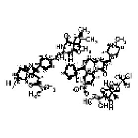 C=CCC1(C(C)CC)C(=O)NC(=O)NC1=O.CN1CCN(/C=C2\N=C3CN=C(c4ccccc4Cl)c4cc([N+](=O)[O-])ccc4N3C2=O)CC1.Cc1ccc(-c2nc3ccc(C)cn3c2CC(=O)N(C)C)cc1.OC[C@@H](O)[C@H]1O[C@@H]2O[C@H](C(Cl)(Cl)Cl)O[C@@H]2[C@H]1O